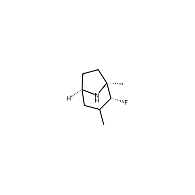 CC1C[C@H]2CC[C@](C)(N2)[C@@H]1F